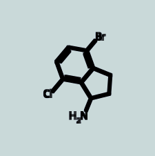 NC1CCc2c(Br)ccc(Cl)c21